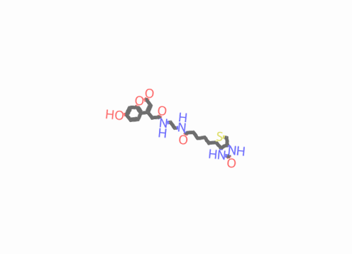 O=C(CCCCC1SCC2NC(=O)NC21)NCCNC(=O)Cc1cc(=O)oc2cc(O)ccc12